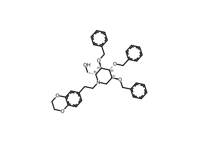 OC[C@@H]1[C@@H](OCc2ccccc2)[C@H](OCc2ccccc2)[C@@H](OCc2ccccc2)CN1CCc1ccc2c(c1)OCCO2